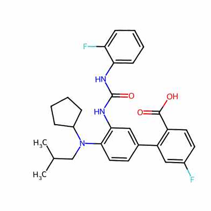 CC(C)CN(c1ccc(-c2cc(F)ccc2C(=O)O)cc1NC(=O)Nc1ccccc1F)C1CCCC1